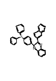 c1ccc(N(c2ccccc2)c2ccc(-c3nc4ccccc4nc3-c3ccc4ccccc4c3)cc2)cc1